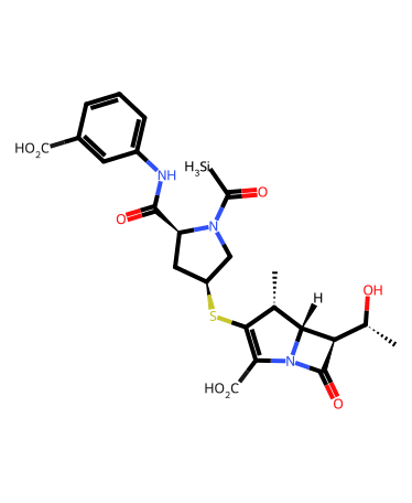 C[C@@H](O)[C@H]1C(=O)N2C(C(=O)O)=C(S[C@H]3C[C@@H](C(=O)Nc4cccc(C(=O)O)c4)N(C(=O)[SiH3])C3)[C@H](C)[C@H]12